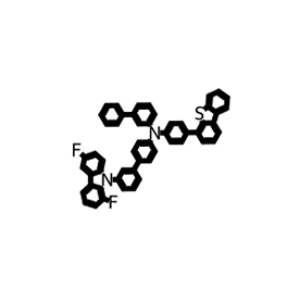 Fc1ccc2c(c1)c1cccc(F)c1n2-c1cccc(-c2ccc(N(c3ccc(-c4cccc5c4sc4ccccc45)cc3)c3cccc(-c4ccccc4)c3)cc2)c1